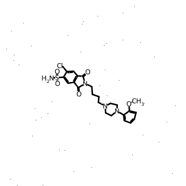 COc1ccccc1N1CCN(CCCCN2C(=O)c3cc(Cl)c(S(N)(=O)=O)cc3C2=O)CC1